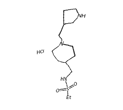 CCS(=O)(=O)NCC1CCN(CC2CCNC2)CC1.Cl